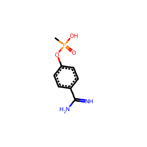 CP(=O)(O)Oc1ccc(C(=N)N)cc1